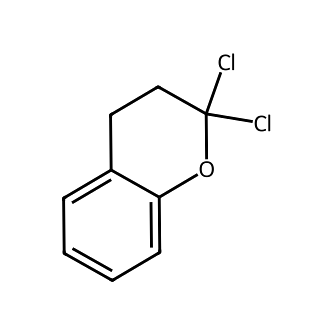 ClC1(Cl)CCc2ccccc2O1